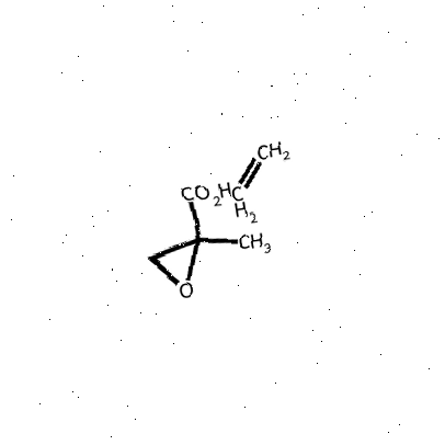 C=C.CC1(C(=O)O)CO1